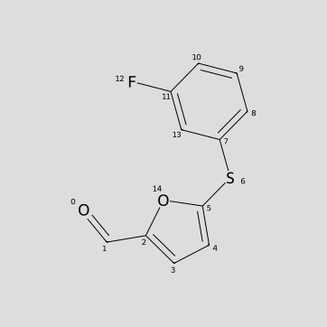 O=Cc1ccc(Sc2cccc(F)c2)o1